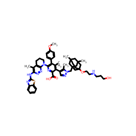 COc1ccc(-c2c(N3CCCc4c3nnc(Nc3nc5ccccc5s3)c4C)nc(C(=O)O)c(-c3cnn(CC45CC6(C)CC(C)(C4)CC(OCCNCCCO)(C6)C5)c3C)c2C)cc1